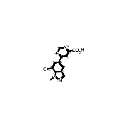 CN1N=CC2C=C(c3cc(C(=O)O)ncn3)C=C(Cl)C21